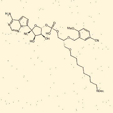 CCCCCCCCCCCCCCCCCCOC[C@H](COP(=O)(O)O[C@H]1O[C@@](C#N)(c2ccc3c(N)ncnn23)[C@H](O)[C@@H]1O)OCc1cc(C#N)ccc1OC